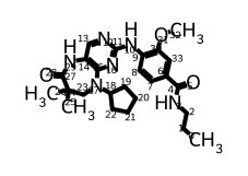 CCCNC(=O)c1ccc(Nc2ncc3c(n2)N(C2CCCC2)CC(C)(C)C(=O)N3)c(OC)c1